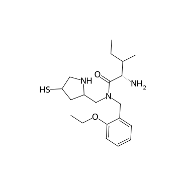 CCOc1ccccc1CN(CC1CC(S)CN1)C(=O)[C@@H](N)C(C)CC